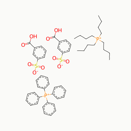 CCCC[P+](CCCC)(CCCC)CCCC.O=C(O)c1cccc(S(=O)(=O)[O-])c1.O=C(O)c1cccc(S(=O)(=O)[O-])c1.c1ccc([P+](c2ccccc2)(c2ccccc2)c2ccccc2)cc1